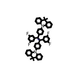 CC1(C)c2ccccc2N(c2ccc(/C(=C(/c3ccc(N4c5ccccc5C(C)(C)c5ccccc54)cc3)c3cc(F)cc(F)c3)c3cc(F)cc(F)c3)cc2)c2ccccc21